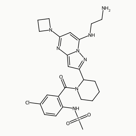 CS(=O)(=O)Nc1ccc(Cl)cc1C(=O)N1CCCCC1c1cc2nc(N3CCC3)cc(NCCN)n2n1